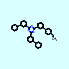 C=Cc1ccc(-c2cccc(-c3nc(-c4cccc(-c5ccccc5)c4)nc(-c4cccc(-c5ccccc5)c4)n3)c2)cc1